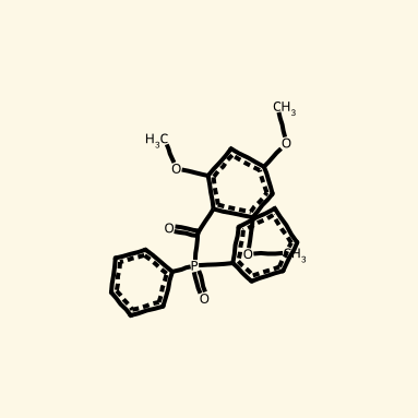 COc1cc(OC)c(C(=O)P(=O)(c2ccccc2)c2ccccc2)c(OC)c1